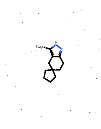 CCOC(=O)c1[nH]nc2c1CC1(CCCC1)CC2